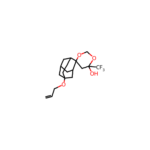 C=CCOC12CC3CC(C1)C1(CC(O)(C(F)(F)F)OCO1)C(C3)C2